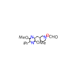 COC1=N[C@@H](C[C@@H]2CCCN(OC=O)C2)C(OC)=NC1C(C)C